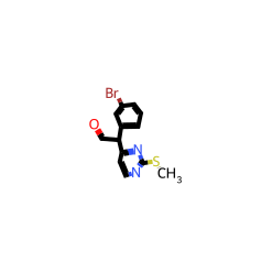 CSc1nccc(C(C=O)c2cccc(Br)c2)n1